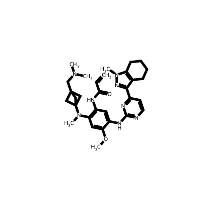 C=CC(=O)Nc1cc(Nc2nccc(-c3nn(C)c4c3CCCC4)n2)c(OC)cc1N(C)C12CC(CN(C)C)(C1)C2